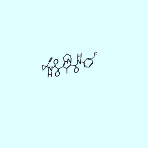 C#CC1(NC(=O)C(=O)c2c(C)c(C(=O)Nc3cccc(F)c3)n3c2CCC3)CC1